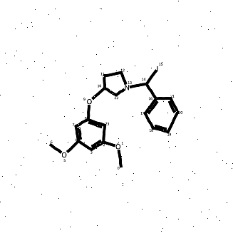 COc1cc(OC)cc(OC2CCN(C(I)c3ccccc3)C2)c1